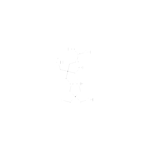 OCC(CO)(CO)COCC(CO)(CO)COP(O)O